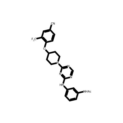 CC(=O)Nc1cccc(Nc2ncnc(N3CCC(Oc4ccc(C#N)cc4C(F)(F)F)CC3)n2)c1